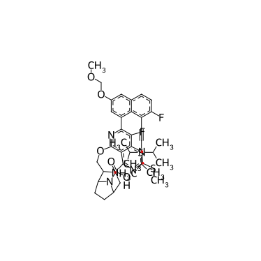 COCOc1cc(-c2nc3c4c(nc(SC)nc4c2F)N2CC4CCC(C2CO3)N4C(=O)O)c2c(C#C[Si](C(C)C)(C(C)C)C(C)C)c(F)ccc2c1